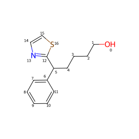 OCCCCC(c1ccccc1)c1nccs1